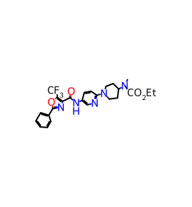 CCOC(=O)N(C)C1CCN(c2ccc(NC(=O)c3nc(-c4ccccc4)oc3C(F)(F)F)cn2)CC1